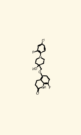 O=C1CCc2c(OCC3(O)CCN(c4ccc(Cl)cc4F)CC3)ccc(F)c2N1